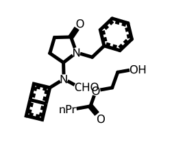 CCCC(=O)OCCO.O=CN(c1cc2ccc1-2)C1CCC(=O)N1Cc1ccccc1